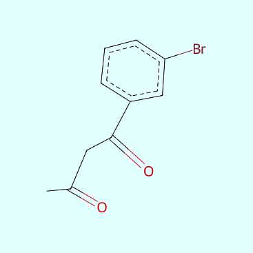 CC(=O)CC(=O)c1cccc(Br)c1